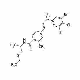 CC(CSCC(F)(F)F)NC(=O)c1ccc(/C=C/C(c2cc(Br)c(Cl)c(Br)c2)C(F)(F)F)cc1C(F)(F)F